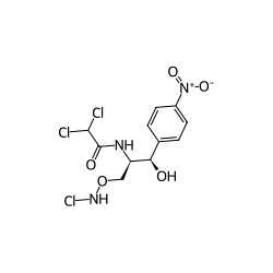 O=C(N[C@H](CONCl)[C@H](O)c1ccc([N+](=O)[O-])cc1)C(Cl)Cl